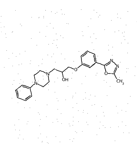 Cc1nnc(-c2cccc(OCC(O)CN3CCN(c4ccccc4)CC3)c2)o1